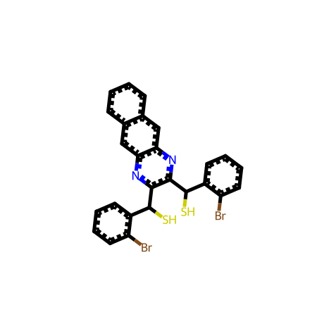 SC(c1ccccc1Br)c1nc2cc3ccccc3cc2nc1C(S)c1ccccc1Br